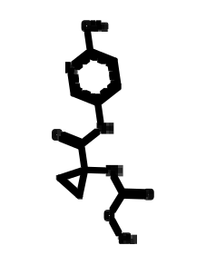 COc1ccc(NC(=O)C2(NC(=O)OC(C)(C)C)CC2)cn1